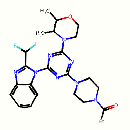 CCC(=O)N1CCN(c2nc(N3CCOC(C)C3C)nc(-n3c(C(F)F)nc4ccccc43)n2)CC1